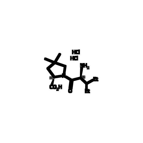 CCC(CC)[C@H](N)C(=O)N1CC(C)(C)C[C@H]1C(=O)O.Cl.Cl